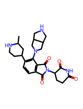 CC1CC(c2ccc3c(c2N2CC4CNCC4C2)C(=O)N(C2CCC(=O)NC2=O)C3=O)CCN1